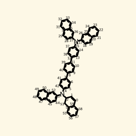 C1=CC(N(c2ccc(-c3ccc(-c4ccc(N(c5ccc6ccccc6c5)c5ccc6ccccc6c5)cc4)cc3)cc2)c2ccc3ccccc3c2)Cc2ccccc21